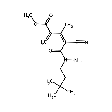 C=C(C(=O)OC)/C(C)=C(/C#N)C(=O)N(N)CCC(C)(C)C